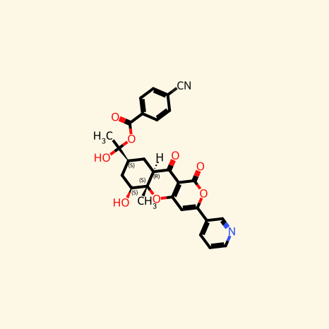 CC(O)(OC(=O)c1ccc(C#N)cc1)[C@@H]1C[C@H](O)[C@@]2(C)Oc3cc(-c4cccnc4)oc(=O)c3C(=O)[C@@H]2C1